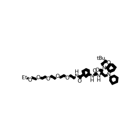 CCOCCOCCOCCOCCOCCNC(=O)c1cccc(NC(=O)N[C@@H]2CN(C3CCCCC3)c3ccccc3N(CC(=O)C(C)(C)C)C2=O)c1